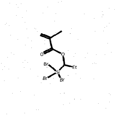 C=C(C)C(=O)OC(CC)[Si](Br)(Br)Br